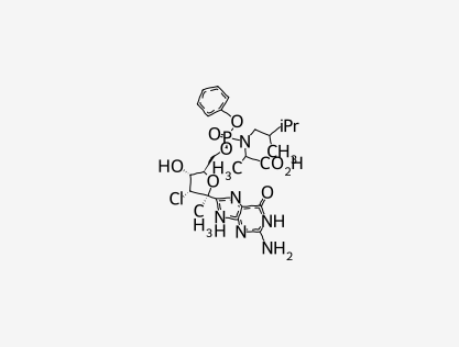 CC(C)C(C)CN(C(C)C(=O)O)[P@@](=O)(OC[C@H]1O[C@@](C)(c2nc3c(=O)[nH]c(N)nc3[nH]2)[C@H](Cl)[C@@H]1O)Oc1ccccc1